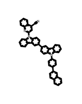 N#Cc1cc(-n2c3ccccc3c3cc(-c4ccc5c(c4)c4ccccc4n5-c4ccc(-c5ccc6ccccc6c5)cc4)ccc32)nc2ccccc12